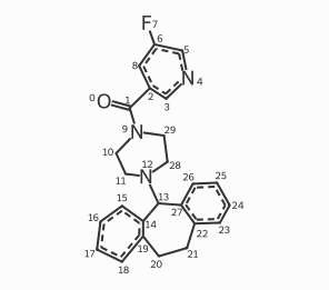 O=C(c1cncc(F)c1)N1CCN(C2c3ccccc3CCc3ccccc32)CC1